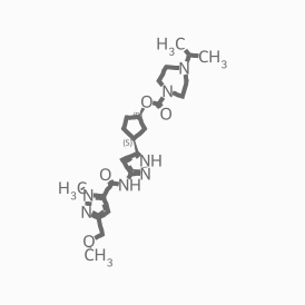 COCc1cc(C(=O)Nc2cc([C@H]3CC[C@@H](OC(=O)N4CCN(C(C)C)CC4)C3)[nH]n2)n(C)n1